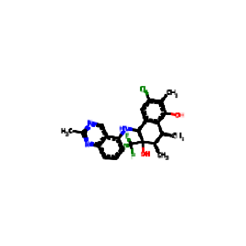 Cc1ncc2c(NC3c4cc(Cl)c(C)c(O)c4C(C)C(C)C3(O)C(F)(F)F)cccc2n1